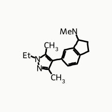 CCn1nc(C)c(-c2ccc3c(c2)C(NC)CC3)c1C